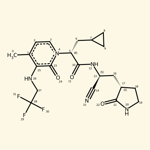 Cc1ccn([C@H](CC2CC2)C(=O)N[C@H](C#N)C[C@@H]2CCNC2=O)c(=O)c1NCC(F)(F)F